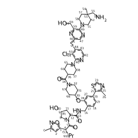 Cc1cc([C@@H](C(=O)N2C[C@H](O)C[C@H]2C(=O)NCc2ccc(-c3scnc3C)cc2OC2CCN(C(=O)C3CCN(c4nccc(Sc5cnc(N6CCC(C)(CN)CC6)c(CO)n5)c4Cl)CC3)CC2)C(C)C)on1